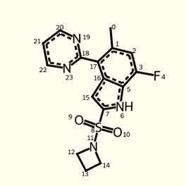 Cc1cc(F)c2[nH]c(S(=O)(=O)N3CCC3)cc2c1-c1ncccn1